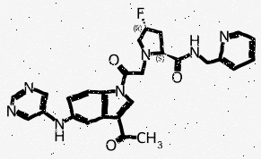 CC(=O)c1cn(C(=O)CN2C[C@H](F)C[C@H]2C(=O)NCc2ccccn2)c2ccc(Nc3cncnc3)cc12